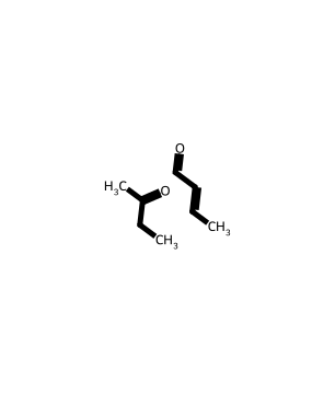 CC=CC=O.CCC(C)=O